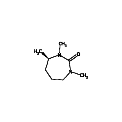 C[C@@H]1CCCN(C)C(=O)N1C